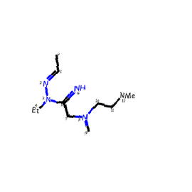 C/C=N/N(CC)C(=N)CN(C)CCNC